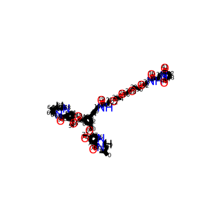 C=C1C[C@H]2C=Nc3cc(OCc4cc(C#CCNC(=O)CCOCCOCCOCCOCCNC(=O)CCN5C(=O)C=CC5=O)cc(COc5cc6c(cc5OC)C(=O)N5CC(C)(C)C[C@H]5C=N6)c4)c(OC)cc3C(=O)N2C1